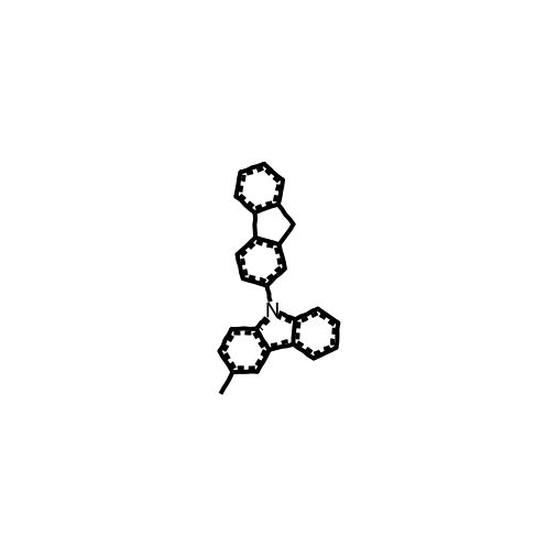 Cc1ccc2c(c1)c1ccccc1n2-c1ccc2c(c1)Cc1ccccc1-2